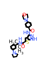 CC(C)(NC(=O)c1cc2c(NC(=O)c3ccc(N4CCOCC4)cc3)n[nH]c2s1)c1cccc(N2CCCC2)c1